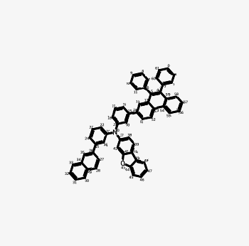 c1ccc(-c2c(-c3ccccc3)c3cc(-c4cccc(N(c5cccc(-c6ccc7ccccc7c6)c5)c5ccc6c(c5)oc5ccccc56)c4)ccc3c3ccccc23)cc1